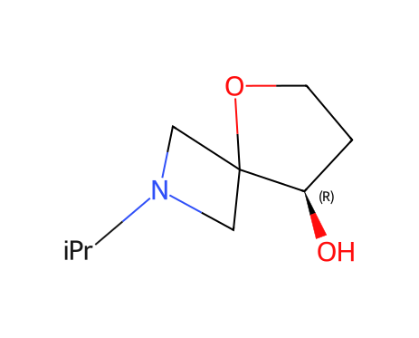 CC(C)N1CC2(C1)OCC[C@H]2O